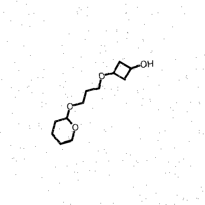 OC1CC(OCCCOC2CCCCO2)C1